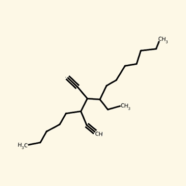 [C]#CC(C(C#C)CCCCC)C(CC)CCCCCCC